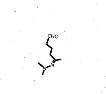 C/C(CCCC=O)=N/N(C)C